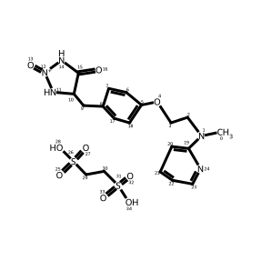 CN(CCOc1ccc(CC2N[N+](=O)NC2=O)cc1)c1ccccn1.O=S(=O)(O)CCS(=O)(=O)O